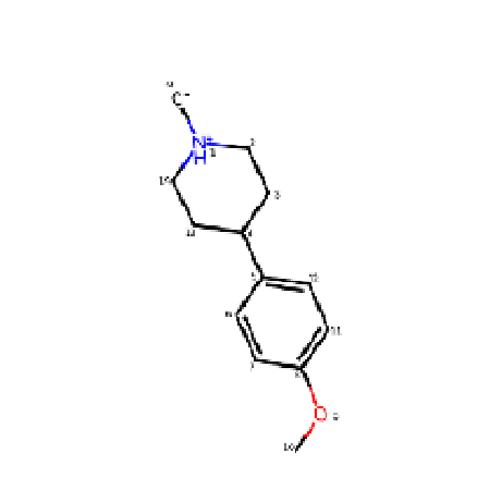 [CH2-][NH+]1CCC(c2ccc(OC)cc2)CC1